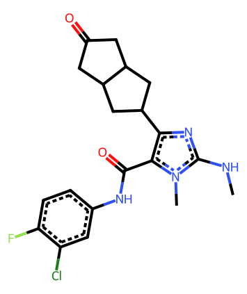 CNc1nc(C2CC3CC(=O)CC3C2)c(C(=O)Nc2ccc(F)c(Cl)c2)n1C